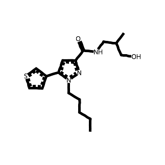 CCCCCn1nc(C(=O)NCC(C)CO)cc1-c1ccsc1